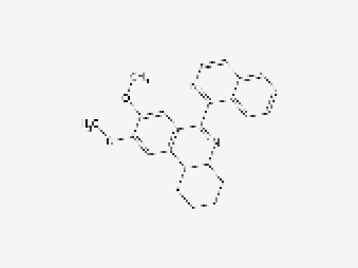 COc1cc2c(cc1OC)C1CCCCC1N=C2c1nccc2ccccc12